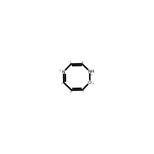 c1cncc[nH]oc1